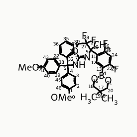 COc1ccc(C(NC2=NC(C)(c3cc(B4OCC(C)(C)CO4)c(F)cc3F)C(F)(F)CO2)(c2ccccc2)c2ccc(OC)cc2)cc1